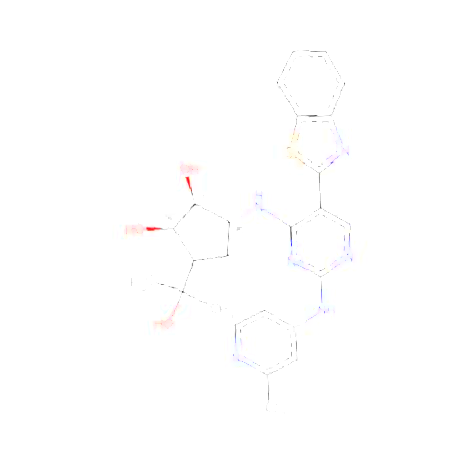 CC(C)(O)C1C[C@@H](Nc2nc(Nc3ccnc(C(F)(F)F)c3)ncc2-c2nc3ccccc3s2)[C@H](O)[C@@H]1O